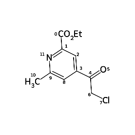 CCOC(=O)c1cc(C(=O)CCl)cc(C)n1